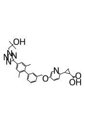 Cc1cc(-c2nnn(CC(C)(C)O)n2)cc(C)c1-c1cccc(COc2ccc(C3C[C@H]3C(=O)O)nc2)c1